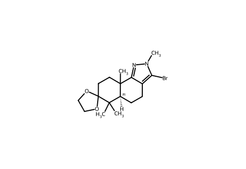 Cn1nc2c(c1Br)CC[C@@H]1C2(C)CCC2(OCCO2)C1(C)C